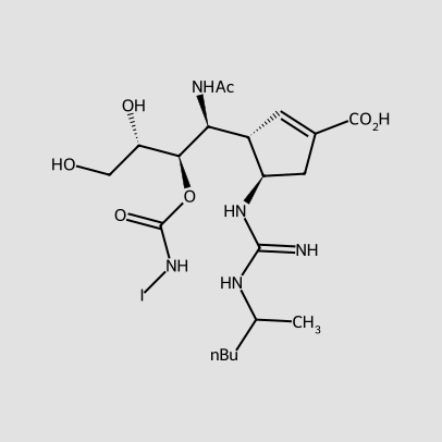 CCCCC(C)NC(=N)N[C@@H]1CC(C(=O)O)=C[C@H]1[C@H](NC(C)=O)[C@@H](OC(=O)NI)[C@@H](O)CO